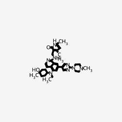 CCN(c1cc(-c2cnc(N3CCN(C)CC3)nc2)cc2c(NCc3c(C)cc(C)[nH]c3=O)nccc12)C1CCC(C)(O)CC1